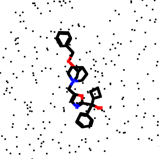 OC(c1ccccc1)(c1ncc(C[N+]23CCC(CC2)C(OCc2ccccc2)C3)o1)C1CCC1